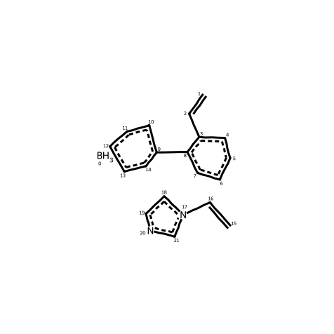 B.C=Cc1ccccc1-c1ccccc1.C=Cn1ccnc1